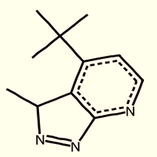 CC1N=Nc2nccc(C(C)(C)C)c21